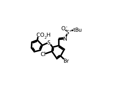 CC(C)(C)[S+]([O-])/N=C/c1cc(Br)cc(Cl)c1Sc1ccccc1C(=O)O